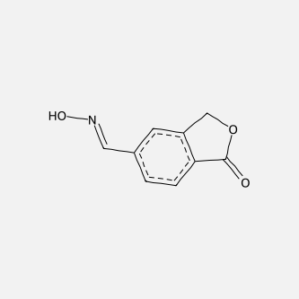 O=C1OCc2cc(C=NO)ccc21